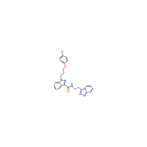 O=C(NCCc1nnc2ccccn12)c1nn(CCCOc2ccc(Cl)cc2)c2ccccc12